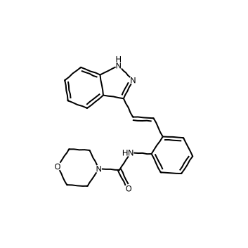 O=C(Nc1ccccc1/C=C/c1n[nH]c2ccccc12)N1CCOCC1